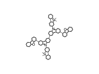 C[Si]1(C)c2ccccc2-c2ccc(-n3c4ccc(-c5ccc6c(c5)c5cc(-c7cccc8c7oc7ccccc78)ccc5n6-c5ccc6c(c5)[Si](C)(C)c5ccccc5-6)cc4c4cc(-c5cccc6c5oc5ccccc56)ccc43)cc21